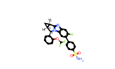 NS(=O)(=O)c1ccc(-c2cc3c(cc2F)nc2n3[C@@H](c3ccccc3OC(F)F)[C@H]3C[C@@H]23)cc1